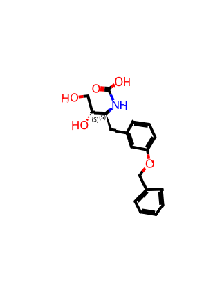 O=C(O)N[C@@H](Cc1cccc(OCc2ccccc2)c1)[C@H](O)CO